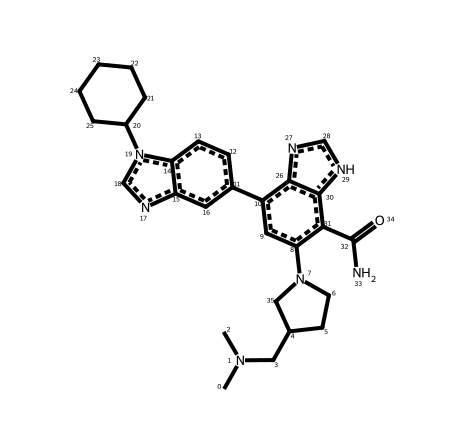 CN(C)CC1CCN(c2cc(-c3ccc4c(c3)ncn4C3CCCCC3)c3nc[nH]c3c2C(N)=O)C1